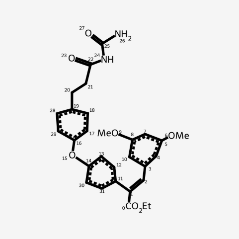 CCOC(=O)/C(=C/c1cc(OC)cc(OC)c1)c1ccc(Oc2ccc(CCC(=O)NC(N)=O)cc2)cc1